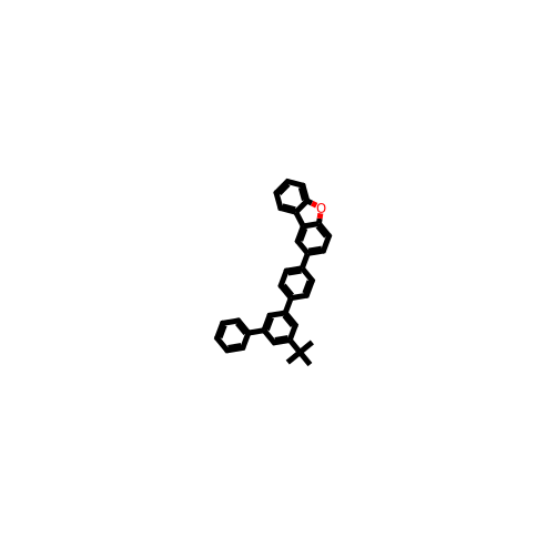 CC(C)(C)c1cc(-c2ccccc2)cc(-c2ccc(-c3ccc4oc5ccccc5c4c3)cc2)c1